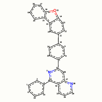 c1ccc(-c2nc(-c3ccc(-c4ccc5oc6ccccc6c5c4)cc3)cc3ncccc23)cc1